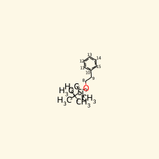 CC(C)(C)[Si](C)(C)OCCc1ccccc1